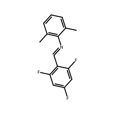 Cc1cccc(C)c1N=Cc1c(F)cc(F)cc1F